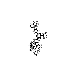 CC1(C)c2ccccc2Sc2ccc3c(c21)C1(c2ccc(-c4nc(-c5ccccc5)nc(-c5ccc(-c6cccc7ccccc67)cc5)n4)cc2-3)C2CC3CC(C2)CC1C3